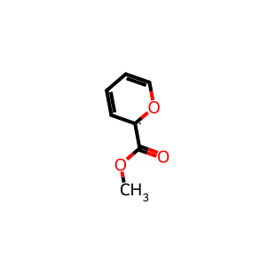 COC(=O)[C]1C=CC=CO1